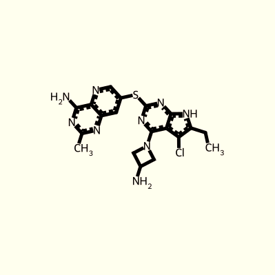 CCc1[nH]c2nc(Sc3cnc4c(N)nc(C)nc4c3)nc(N3CC(N)C3)c2c1Cl